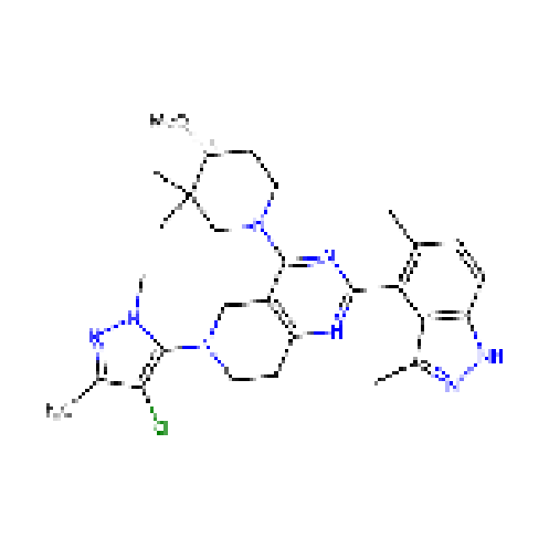 CO[C@@H]1CCN(c2nc(-c3c(C)ccc4[nH]nc(C)c34)nc3c2CN(c2c(Cl)c(C(F)(F)F)nn2C)CC3)CC1(C)C